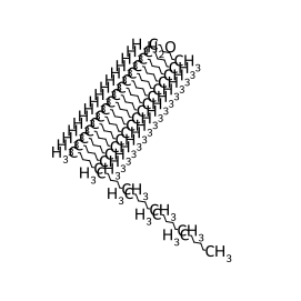 CCCCCC.CCCCCC.CCCCCC.CCCCCC.CCCCCC.CCCCCC.CCCCCC.CCCCCC.CCCCCC.CCCCCC.CCCCCC.CCCCCC.CCCCCC.CCCCCC.CCCCCC.CCCCCC.CCCCCC.CCCCCC.CCCCCC.CCCCCC.O